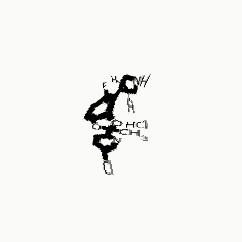 CC1(c2ccc(Cl)cn2)Oc2ccc(F)c(C3[C@H]4CNC[C@@H]34)c2O1.Cl